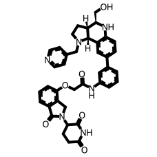 O=C1CCC(N2Cc3c(OCC(=O)Nc4cccc(-c5ccc6c(c5)[C@H]5[C@H](CCN5Cc5ccncc5)[C@@H](CO)N6)c4)cccc3C2=O)C(=O)N1